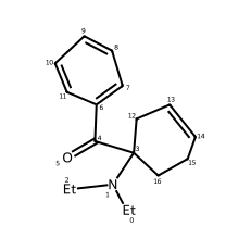 CCN(CC)C1(C(=O)c2ccccc2)CC=CCC1